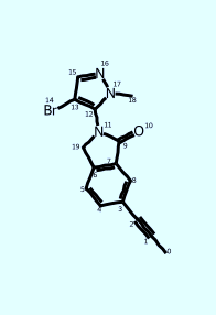 CC#Cc1ccc2c(c1)C(=O)N(c1c(Br)cnn1C)C2